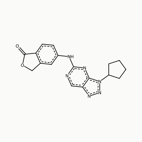 O=C1OCc2cc(Nc3ncc4nnn(C5CCCC5)c4n3)ccc21